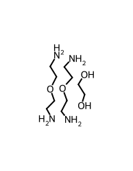 NCCOCCN.NCCOCCN.OCCO